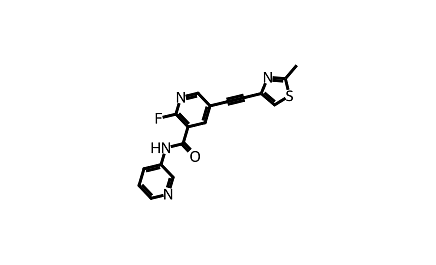 Cc1nc(C#Cc2cnc(F)c(C(=O)Nc3cccnc3)c2)cs1